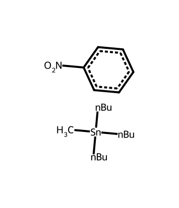 CCC[CH2][Sn]([CH3])([CH2]CCC)[CH2]CCC.O=[N+]([O-])c1ccccc1